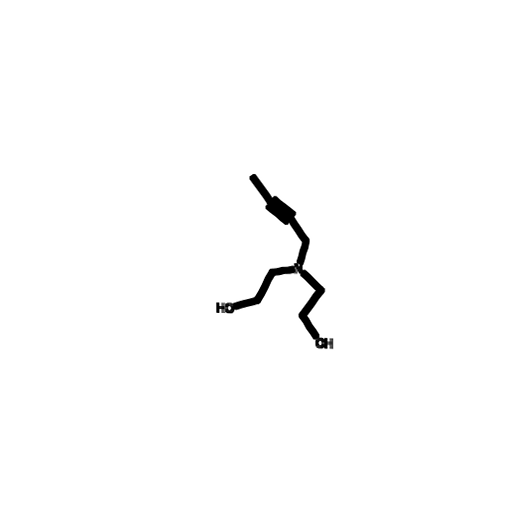 CC#CCN(CCO)CCO